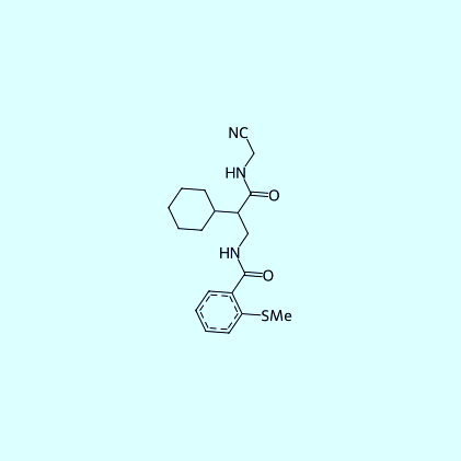 CSc1ccccc1C(=O)NCC(C(=O)NCC#N)C1CCCCC1